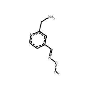 CO/N=C/c1ccnc(CN)c1